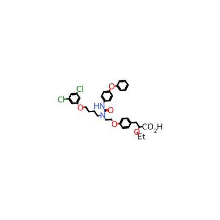 CCOC(Cc1ccc(OCCN(CCCCOc2cc(Cl)cc(Cl)c2)C(=O)Nc2ccc(Oc3ccccc3)cc2)cc1)C(=O)O